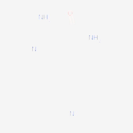 NC(=O)c1cc(-c2cccnc2)cnc1N